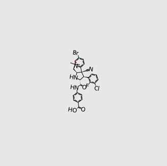 CC(C)(C)C[C@@H]1N[C@@H](C(=O)Nc2ccc(C(=O)O)cc2)[C@H](c2cccc(Cl)c2F)[C@@]1(C#N)c1ccc(Br)cn1